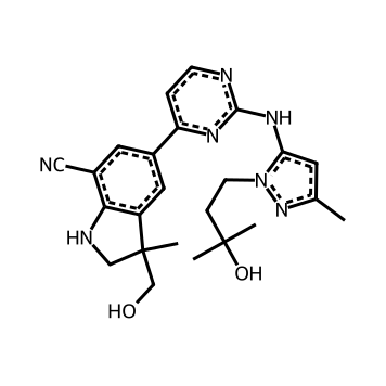 Cc1cc(Nc2nccc(-c3cc(C#N)c4c(c3)C(C)(CO)CN4)n2)n(CCC(C)(C)O)n1